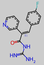 N=C(N)NC(=O)/C(=C/c1ccc(F)cc1)c1cccnc1